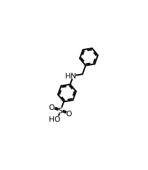 O=S(=O)(O)c1ccc(NCc2ccccc2)cc1